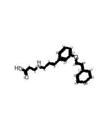 O=C(O)CCNCCCc1cccc(OCCC2CCCCC2)c1